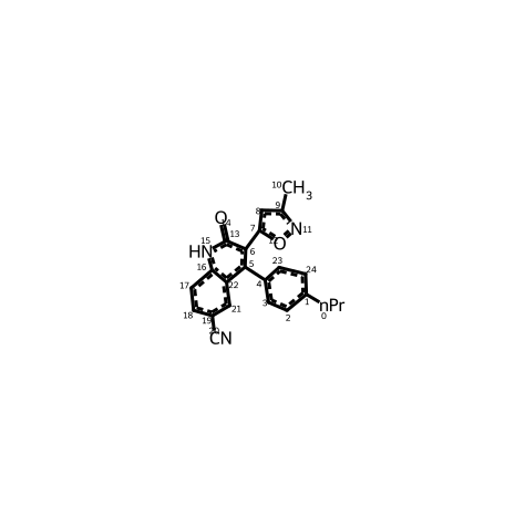 CCCc1ccc(-c2c(-c3cc(C)no3)c(=O)[nH]c3ccc(C#N)cc23)cc1